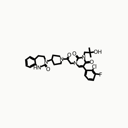 CC(C)(O)Cn1c(=O)c(-c2cccc(F)c2Cl)cn(CC(=O)N2CCC(N3CCc4ccccc4NC3=O)CC2)c1=O